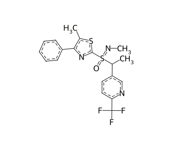 CN=S(=O)(c1nc(-c2ccccc2)c(C)s1)C(C)c1ccc(C(F)(F)F)nc1